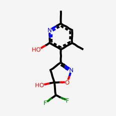 Cc1cc(C)c(C2=NOC(O)(C(F)F)C2)c(O)n1